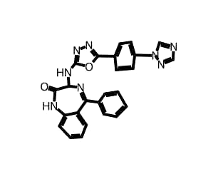 O=C1Nc2ccccc2C(c2ccccc2)=NC1Nc1nnc(-c2ccc(-n3cncn3)cc2)o1